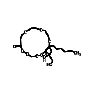 CCCCCCC1(CC(O)CO)CCCCCCCCCC(=O)OOCCOC1=O